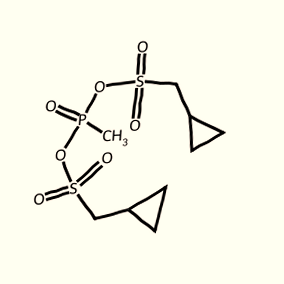 CP(=O)(OS(=O)(=O)CC1CC1)OS(=O)(=O)CC1CC1